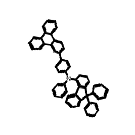 c1ccc(N(c2ccc(-c3ccc4c5ccccc5c5ccccc5c4c3)cc2)c2cccc3c2-c2ccccc2C3(c2ccccc2)c2ccccc2)cc1